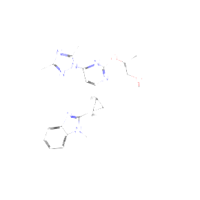 COC[C@H](C)Oc1nc([C@@H]2C[C@H]2c2nc3ccccc3n2C)cc(-n2nc(C)nc2C)n1